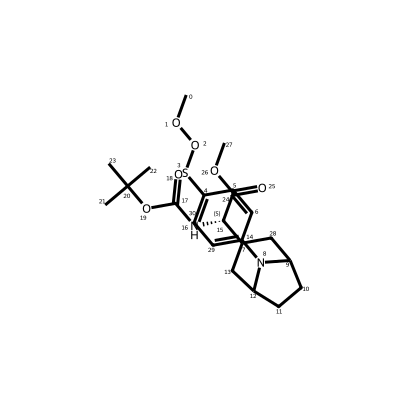 COOSc1ccc(N2C3CCC2CC([C@H](NC(=O)OC(C)(C)C)C(=O)OC)C3)cc1